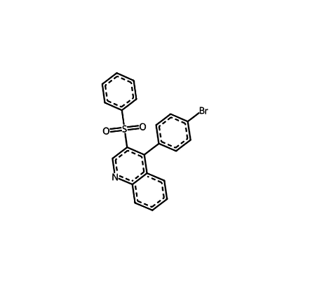 O=S(=O)(c1ccccc1)c1cnc2ccccc2c1-c1ccc(Br)cc1